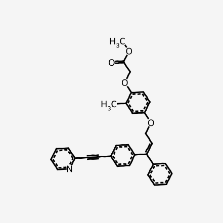 COC(=O)COc1ccc(OCC=C(c2ccccc2)c2ccc(C#Cc3ccccn3)cc2)cc1C